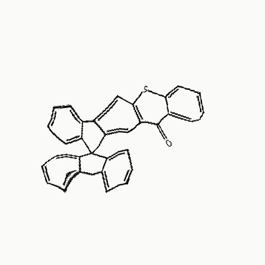 O=c1c2ccccc2sc2cc3c(cc12)C1(c2ccccc2-c2ccccc21)c1ccccc1-3